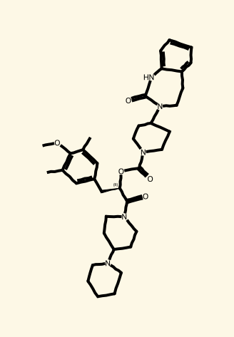 COc1c(C)cc(C[C@@H](OC(=O)N2CCC(N3CCc4ccccc4NC3=O)CC2)C(=O)N2CCC(N3CCCCC3)CC2)cc1C